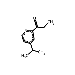 CCC(=O)c1cc(C(C)C)cnn1